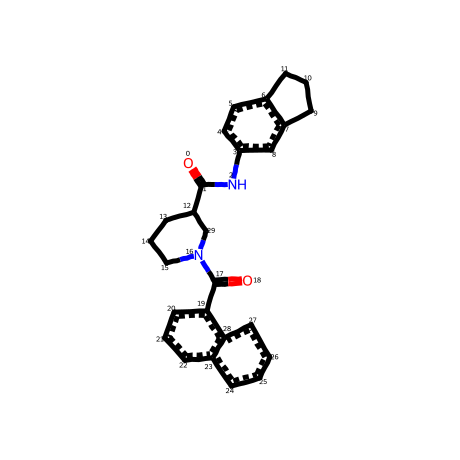 O=C(Nc1ccc2c(c1)CCC2)C1CCCN(C(=O)c2cccc3ccccc23)C1